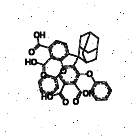 O=C(O)c1ccc(C2(c3ccc(C(=O)O)c(C(=O)O)c3Oc3ccccc3)C3CC4CC(C3)CC2C4)c(Oc2ccccc2)c1C(=O)O